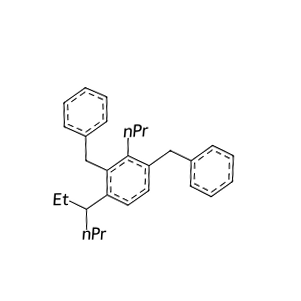 CCCc1c(Cc2ccccc2)ccc(C(CC)CCC)c1Cc1ccccc1